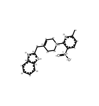 Cc1ccc([N+](=O)[O-])c(N2CC=C(Cc3nc4ccccc4s3)CC2)n1